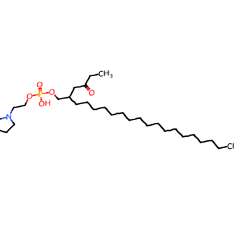 CCCCCCCCCCCCCCCCCCC(COP(=O)(O)OCCN1CCCC1)CC(=O)CC